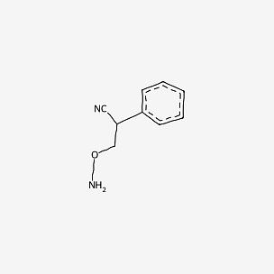 N#CC(CON)c1ccccc1